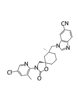 Cc1cc(Cl)cnc1N1C[C@@]2(CCC[C@](C)(Cn3cnc4ccc(C#N)cc43)C2)OC1=O